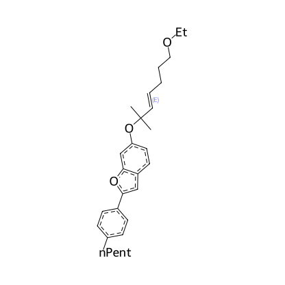 CCCCCc1ccc(-c2cc3ccc(OC(C)(C)/C=C/CCCOCC)cc3o2)cc1